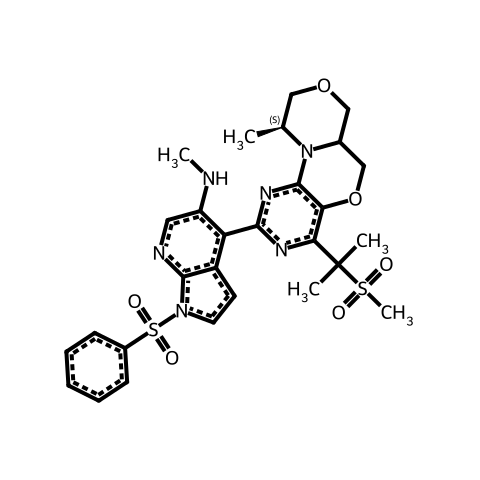 CNc1cnc2c(ccn2S(=O)(=O)c2ccccc2)c1-c1nc2c(c(C(C)(C)S(C)(=O)=O)n1)OCC1COC[C@H](C)N21